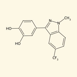 Cn1nc(-c2ccc(O)c(O)c2)c2cc(C(F)(F)F)ccc21